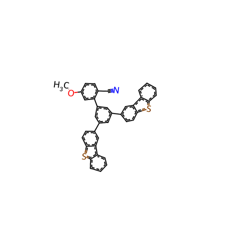 COc1ccc(C#N)c(-c2cc(-c3ccc4sc5ccccc5c4c3)cc(-c3ccc4sc5ccccc5c4c3)c2)c1